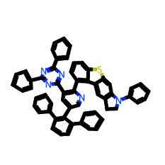 c1ccc(-c2nc(-c3ccccc3)nc(-c3cc(-c4c(-c5ccccc5)cccc4-c4ccccc4)cnc3-c3cccc4sc5cc6c(cc5c34)CCN6c3ccccc3)n2)cc1